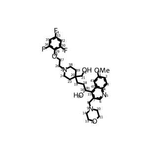 COc1ccc2ncc(CN3CCOCC3)c([C@H](O)CCC3(CO)CCN(CCOc4c(F)cc(F)cc4F)CC3)c2c1